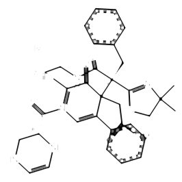 COC(=O)CC1([C@](Cc2ccccc2)(C(=O)NCC(C)=O)C2=NC(C)(C)CO2)C(=O)C(C(C)C)=[N+](C(=O)[C@H]2CNC=CN2)C=C1c1ccccc1.[Br-]